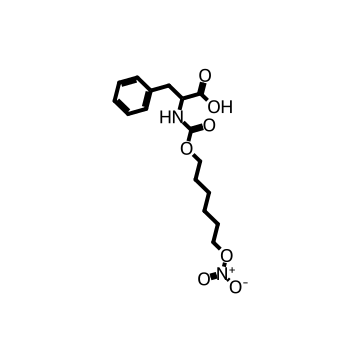 O=C(NC(Cc1ccccc1)C(=O)O)OCCCCCCO[N+](=O)[O-]